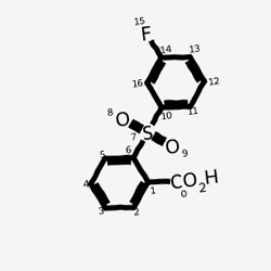 O=C(O)c1ccccc1S(=O)(=O)c1cccc(F)c1